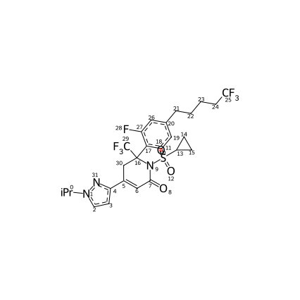 CC(C)n1ccc(C2=CC(=O)N(S(=O)(=O)C3CC3)C(c3ccc(CCCCC(F)(F)F)cc3F)(C(F)(F)F)C2)n1